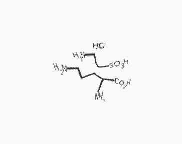 Cl.NCCCC(N)C(=O)O.NCCS(=O)(=O)O